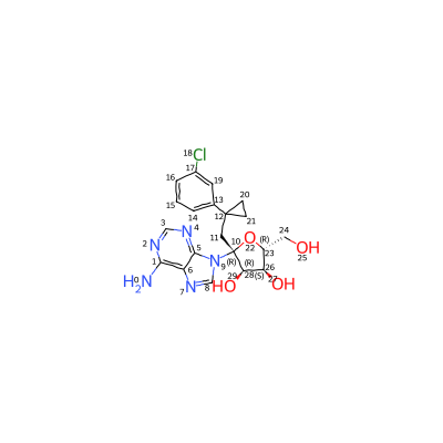 Nc1ncnc2c1ncn2[C@]1(CC2(c3cccc(Cl)c3)CC2)O[C@H](CO)[C@@H](O)[C@H]1O